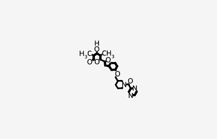 Cc1c(-c2cc3cc(OCC4CCCN(C(=O)c5cnccn5)C4)ccc3o2)oc(=O)c(C)c1O